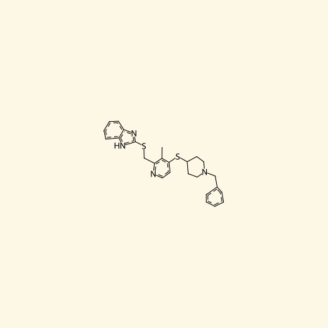 Cc1c(SC2CCN(Cc3ccccc3)CC2)ccnc1CSc1nc2ccccc2[nH]1